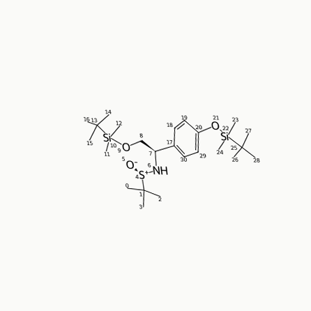 CC(C)(C)[S@@+]([O-])N[C@@H](CO[Si](C)(C)C(C)(C)C)c1ccc(O[Si](C)(C)C(C)(C)C)cc1